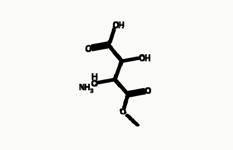 COC(=O)C(O)C(O)C(=O)O.N